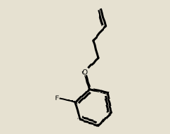 C=CCCOc1ccc[c]c1F